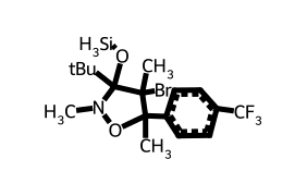 CN1OC(C)(c2ccc(C(F)(F)F)cc2)C(C)(Br)C1(O[SiH3])C(C)(C)C